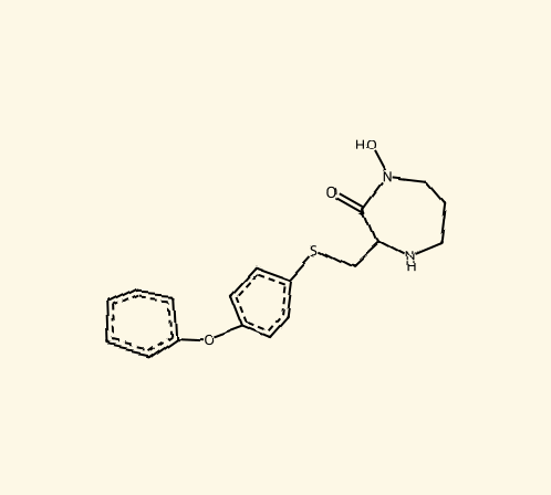 O=C1C(CSc2ccc(Oc3ccccc3)cc2)NCCCN1O